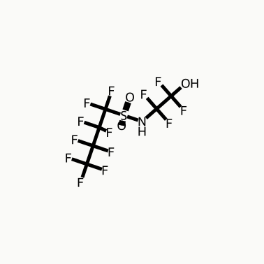 O=S(=O)(NC(F)(F)C(O)(F)F)C(F)(F)C(F)(F)C(F)(F)C(F)(F)F